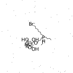 CCCCCCCC[PH](CCCC)(CCCC)CCCC.O=C(O)CC(O)(CC(=O)O)C(=O)O.[Br-].[K+]